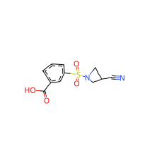 N#CC1CN(S(=O)(=O)c2cccc(C(=O)O)c2)C1